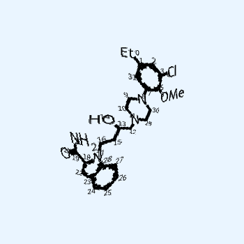 CCc1cc(Cl)c(OC)c(N2CCN(CC(O)CCn3c(C(N)=O)cc4ccccc43)CC2)c1